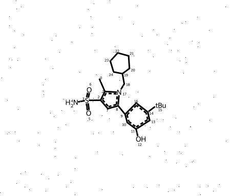 Cc1c(S(N)(=O)=O)cc(-c2cc(O)cc(C(C)(C)C)c2)n1CC1CCCCC1